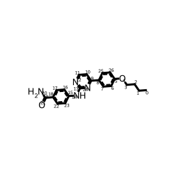 CCCCOc1ccc(-c2ccnc(Nc3ccc(C(N)=O)cc3)n2)cc1